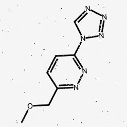 COCc1ccc(-n2cnnn2)nn1